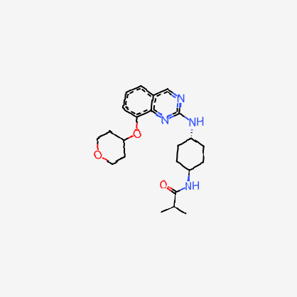 CC(C)C(=O)N[C@H]1CC[C@H](Nc2ncc3cccc(OC4CCOCC4)c3n2)CC1